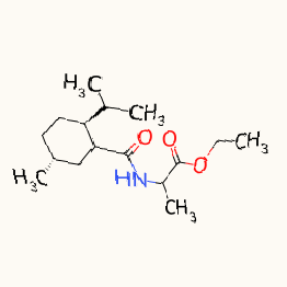 CCOC(=O)C(C)NC(=O)C1C[C@H](C)CC[C@H]1C(C)C